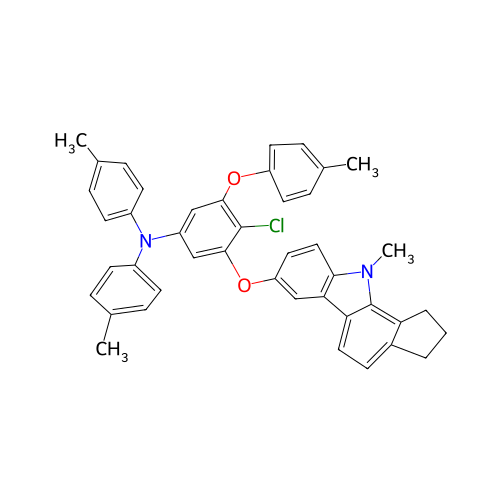 Cc1ccc(Oc2cc(N(c3ccc(C)cc3)c3ccc(C)cc3)cc(Oc3ccc4c(c3)c3ccc5c(c3n4C)CCC5)c2Cl)cc1